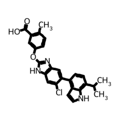 Cc1ccc(Oc2nc3cc(-c4ccc(C(C)C)c5[nH]ccc45)c(Cl)cc3[nH]2)cc1C(=O)O